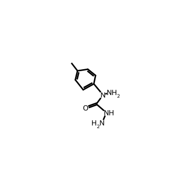 Cc1ccc(N(N)C(=O)NN)cc1